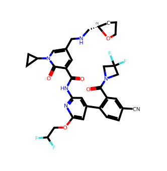 N#Cc1ccc(-c2cc(NC(=O)c3cc(CNC[C@@H]4CCCO4)cn(C4CC4)c3=O)nc(OCC(F)F)c2)c(C(=O)N2CC(F)(F)C2)c1